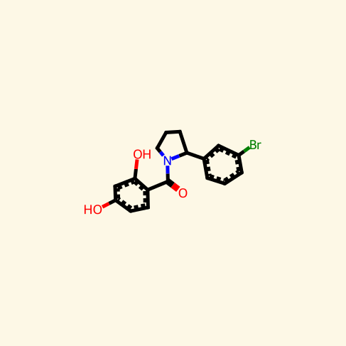 O=C(c1ccc(O)cc1O)N1CCCC1c1cccc(Br)c1